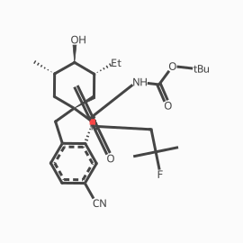 CC[C@@H]1C[C@@]2(Cc3ccc(C#N)cc3[C@]23N=C(NC(=O)OC(C)(C)C)N(CC(C)(C)F)C3=O)C[C@H](C)[C@H]1O